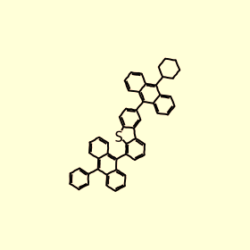 c1ccc(-c2c3ccccc3c(-c3cccc4c3sc3ccc(-c5c6ccccc6c(C6CCCCC6)c6ccccc56)cc34)c3ccccc23)cc1